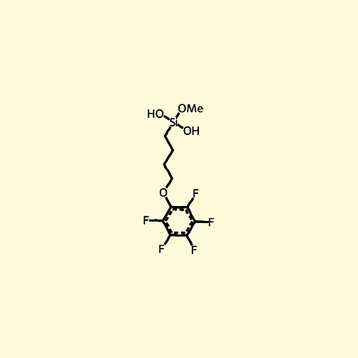 CO[Si](O)(O)CCCCOc1c(F)c(F)c(F)c(F)c1F